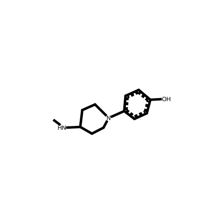 CNC1CCN(c2ccc(O)cc2)CC1